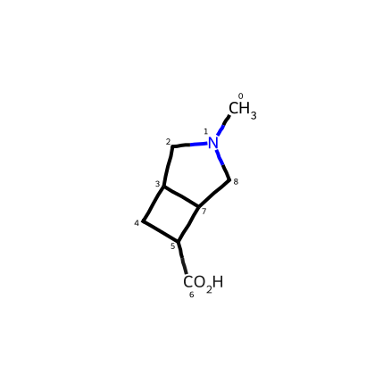 CN1CC2CC(C(=O)O)C2C1